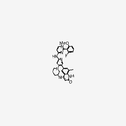 COc1cccc(F)c1-c1nccc(Nc2cc(N3CCC[C@H](N)C3)c(-c3cc(C)c4c(c3)CCC(=O)N4)cn2)n1